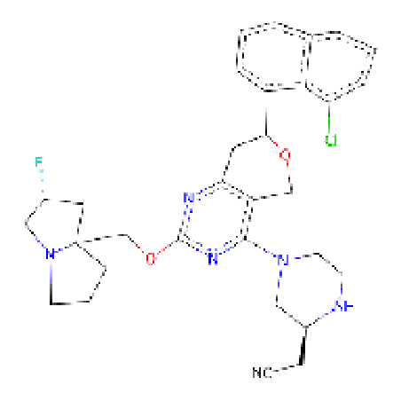 N#CC[C@H]1CN(c2nc(OCC34CCCN3C[C@H](F)C4)nc3c2COC(c2cccc4cccc(Cl)c24)C3)CCN1